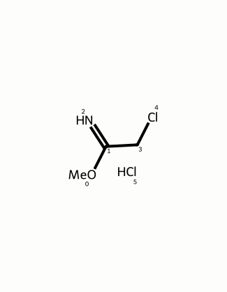 COC(=N)CCl.Cl